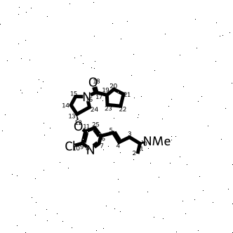 CN[C@@H](C)CC=Cc1cnc(Cl)c(O[C@@H]2CCN(C(=O)C3CCCC3)C2)c1